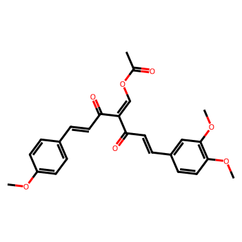 COc1ccc(/C=C/C(=O)/C(=C\OC(C)=O)C(=O)/C=C/c2ccc(OC)c(OC)c2)cc1